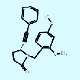 COc1ccc(CN2C(=O)CC[C@@H]2C#Cc2ccccc2)c(OC)c1